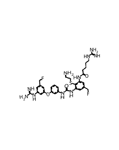 N=C(N)NCCCCC(=O)Nc1cc(CF)cc(NC(=O)Nc2cccc(Oc3cc(CF)cc(NC(=N)N)c3)c2)c1SCCN